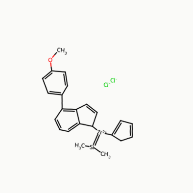 COc1ccc(-c2cccc3c2C=C[CH]3[Zr+2]([C]2=CC=CC2)=[Si](C)C)cc1.[Cl-].[Cl-]